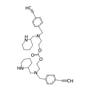 C#Cc1ccc(CN(CCOC(=O)OCCN(Cc2ccc(C#C)cc2)CC2CCCCN2)CC2CCCCN2)cc1